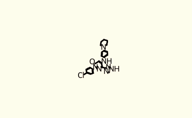 O=c1cc(Nc2ccc(N3CCCCC3)cc2)c(-c2nc[nH]n2)nn1-c1ccc(Cl)cc1